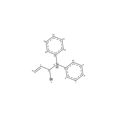 C=CC(Br)[SiH](c1ccccc1)c1ccccc1